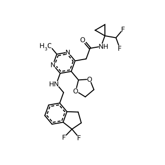 Cc1nc(CC(=O)NC2(C(F)F)CC2)c(C2OCCO2)c(NCc2cccc3c2CCC3(F)F)n1